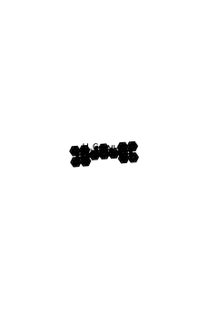 CN1c2cc(-c3c4ccccc4c(N(c4ccccc4)c4ccccc4)c4ccccc34)ccc2-c2ccc3c4c(ccc1c24)Nc1cc(-c2c4ccccc4c(N(c4ccccc4)C4C=CC=CC4)c4ccccc24)ccc1-3